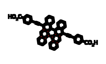 O=C(O)c1ccc(C#Cc2cc(P(c3ccccc3)c3ccccc3)c(-c3c(P(c4ccccc4)c4ccccc4)cc(C#Cc4ccc(C(=O)O)cc4)c4ccccc34)c3ccccc23)cc1